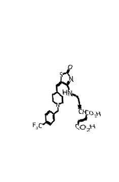 C#CCNC1=NC(=O)SC1=CC1CCN(Cc2ccc(C(F)(F)F)cc2)CC1.O=C(O)C=CC(=O)O